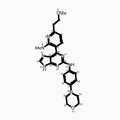 CNc1nc(CCOC)ccc1-c1nc(Nc2ccc(N3CCOCC3)cc2)nc2[nH]cnc12